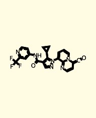 O=C=C1C=CN=C2C(n3ncc(C(=O)Nc4ccnc(C(F)(F)F)c4)c3C3CC3)=CC=CN12